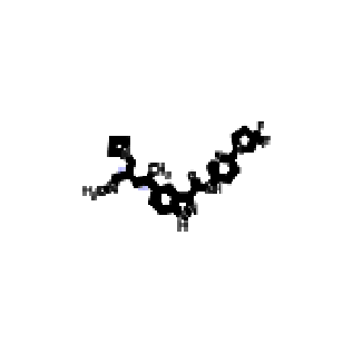 C=N/C=C(\C=C(/C)c1ccc2[nH]nc(C(=O)Nc3ccc(N4CCC(F)(F)C4)nc3)c2c1)CN1CCC1